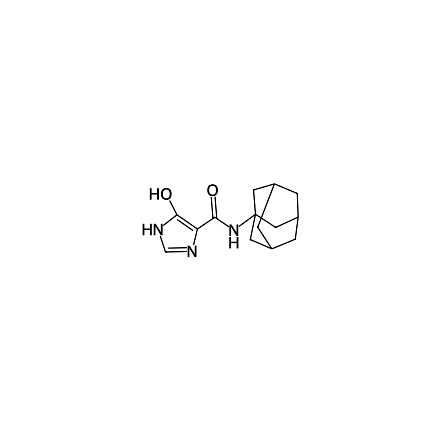 O=C(NC12CC3CC(CC(C3)C1)C2)c1nc[nH]c1O